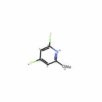 COc1[c]c(F)[c]c(F)n1